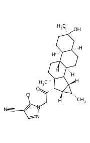 C[C@H]1[C@H]2C3[C@@H]4CC[C@@H]5C[C@](C)(O)CC[C@@H]5[C@H]4CC[C@]3(C)[C@@H](C(=O)Cn3ncc(C#N)c3Cl)[C@@H]12